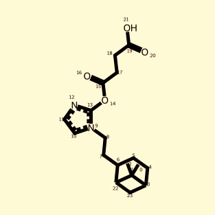 CC1(C)C2CCC(CCn3ccnc3OC(=O)CCC(=O)O)C1C2